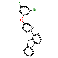 Brc1cc(Br)cc(Oc2ccc(-c3cccc4c3Cc3ccccc3-4)cc2)c1